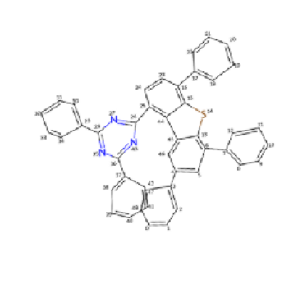 c1ccc(-c2cc(-c3ccccc3)c3sc4c(-c5ccccc5)ccc(-c5nc(-c6ccccc6)nc(-c6ccccc6)n5)c4c3c2)cc1